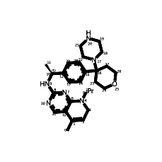 CC1=CCN(C(C)C)c2nc(N[C@@H](C)c3ccc(C4(N5CCNCC5)CCOCC4)cc3)ncc21